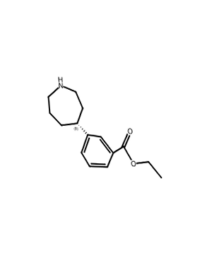 CCOC(=O)c1cccc([C@@H]2CCCNCC2)c1